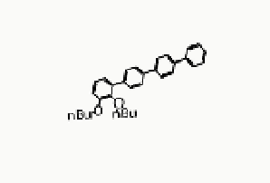 CCCCOc1cccc(-c2ccc(-c3ccc(-c4ccccc4)cc3)cc2)c1OCCCC